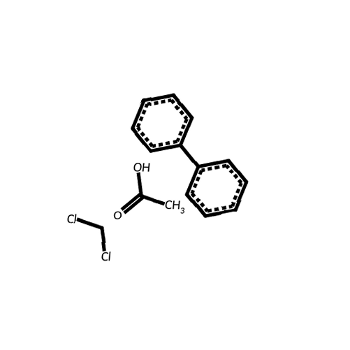 CC(=O)O.ClCCl.c1ccc(-c2ccccc2)cc1